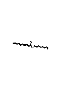 C=CCCCCCCCC(=O)OCCCCCCC=C